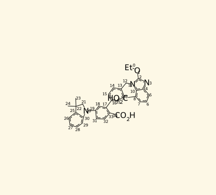 CCOc1nc2cccc(C(=O)O)c2n1Cc1ccc(-c2cc(N3CC(C)(C)c4ccccc43)ccc2C(=O)O)cc1